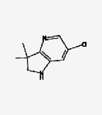 CC1(C)CNc2cc(Cl)cnc21